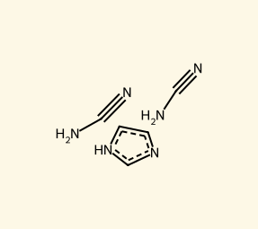 N#CN.N#CN.c1c[nH]cn1